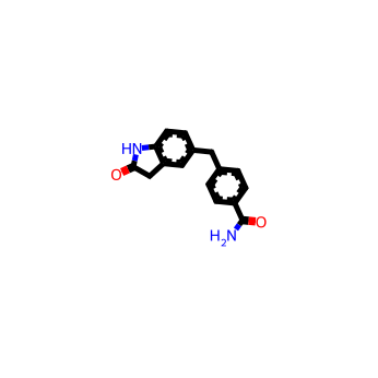 NC(=O)c1ccc(Cc2ccc3c(c2)CC(=O)N3)cc1